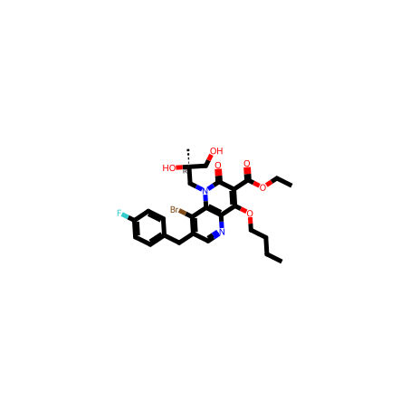 CCCCOc1c(C(=O)OCC)c(=O)n(C[C@@](C)(O)CO)c2c(Br)c(Cc3ccc(F)cc3)cnc12